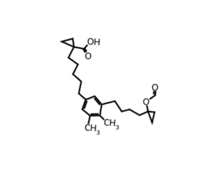 Cc1cc(CCCCCC2(C(=O)O)CC2)cc(CCCCC2(OC=O)CC2)c1C